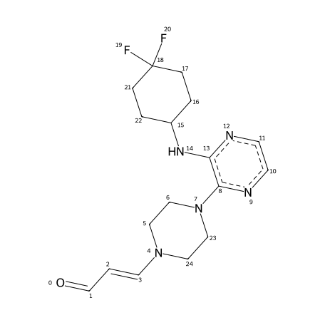 O=CC=CN1CCN(c2nccnc2NC2CCC(F)(F)CC2)CC1